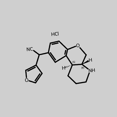 Cl.N#CC(c1ccoc1)c1ccc2c(c1)[C@@H]1CCCN[C@H]1CO2